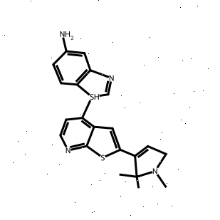 CN1CC=C(c2cc3c([SH]4C=Nc5cc(N)ccc54)ccnc3s2)C1(C)C